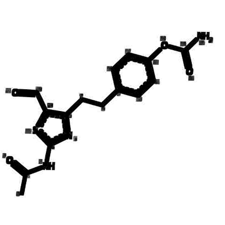 CC(=O)Nc1nc(CCc2ccc(OC(N)=O)cc2)c(C=O)s1